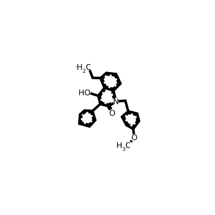 [CH2]Cc1cccc2c1c(O)c(-c1ccccc1)c(=O)n2Cc1ccc(OC)cc1